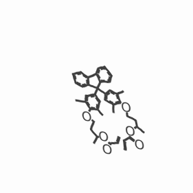 C=CC(=O)OC(C)CCOc1c(C)cc(C2(c3cc(C)c(OCCC(C)OC(=O)C=C)c(C)c3)c3ccccc3-c3ccccc32)cc1C